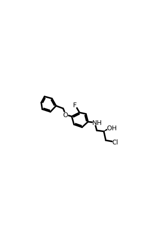 O[C@@H](CCl)CNc1ccc(OCc2ccccc2)c(F)c1